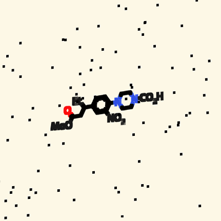 CCC(CC(=O)OC)c1ccc(N2CCN(C(=O)O)CC2)c([N+](=O)[O-])c1